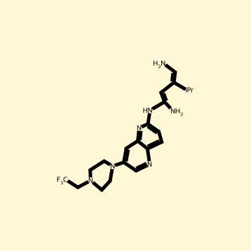 CC(C)C(=C/N)/C=C(\N)Nc1ccc2ncc(N3CCN(CC(F)(F)F)CC3)cc2n1